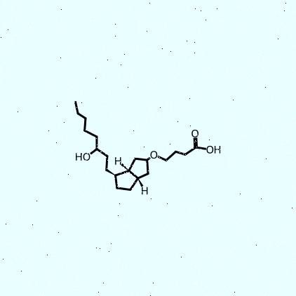 CCCCCC(O)CC[C@@H]1CC[C@H]2CC(OCCCC(=O)O)C[C@@H]12